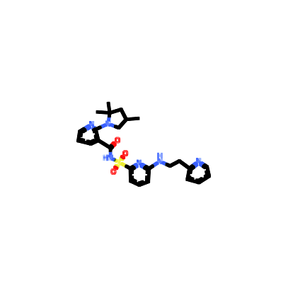 CC1CN(c2ncccc2C(=O)NS(=O)(=O)c2cccc(NCCc3ccccn3)n2)C(C)(C)C1